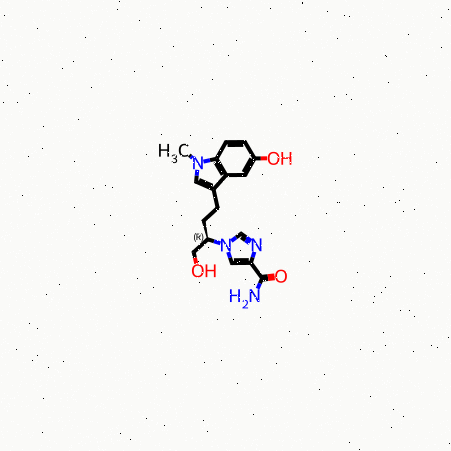 Cn1cc(CC[C@H](CO)n2cnc(C(N)=O)c2)c2cc(O)ccc21